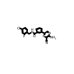 N#Cc1nc(-c2cccc(C(=O)NCc3ccc(Cl)cc3F)c2)cnc1N